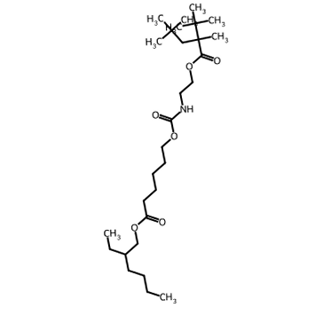 CCCCC(CC)COC(=O)CCCCCOC(=O)NCCOC(=O)C(C)(CC(C)(C)C)C(C)(C)C